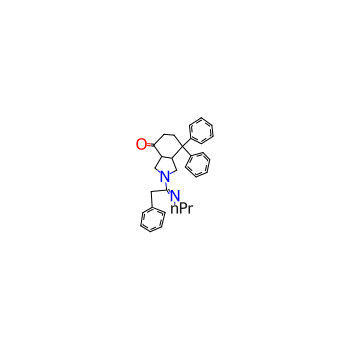 CCCN=C(Cc1ccccc1)N1CC2C(=O)CCC(c3ccccc3)(c3ccccc3)C2C1